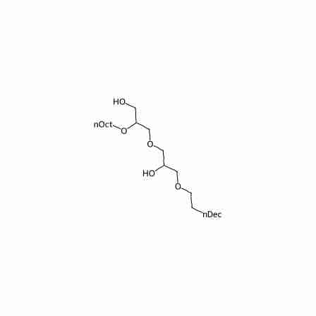 CCCCCCCCCCCCOCC(O)COCC(CO)OCCCCCCCC